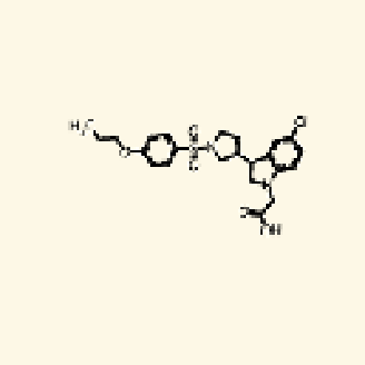 CCCOc1ccc(S(=O)(=O)N2CCC(C3CN(CC(=O)O)c4ccc(Cl)cc43)C2)cc1